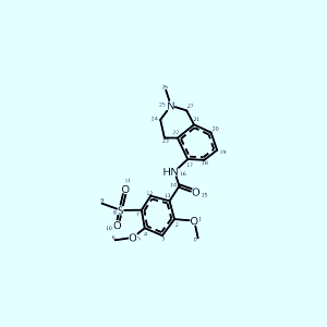 COc1cc(OC)c(S(C)(=O)=O)cc1C(=O)Nc1cccc2c1CCN(C)C2